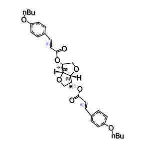 CCCCOc1ccc(/C=C/C(=O)O[C@@H]2CO[C@@]3(I)[C@@H]2OC[C@H]3OC(=O)/C=C/c2ccc(OCCCC)cc2)cc1